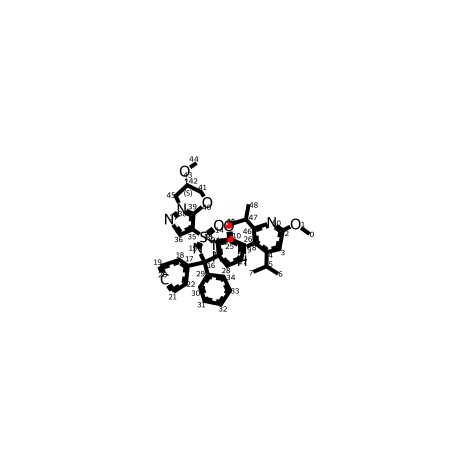 COc1cc(C(C)C)c(NC(=O)N[S@@](=O)(=NC(c2ccccc2)(c2ccccc2)c2ccccc2)c2cnn3c2OC[C@@H](OC)C3)c(C(C)C)n1